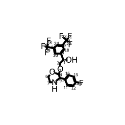 O[C@@H](COC1OCCNC1c1ccc(F)cc1)c1cc(C(F)(F)F)cc(C(F)(F)F)c1